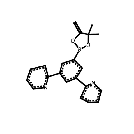 C=C1OB(c2cc(-c3ccccn3)cc(-c3ccccn3)c2)OC1(C)C